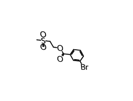 CS(=O)(=O)CCOC(=O)c1cccc(Br)c1